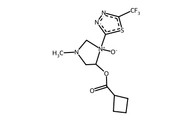 CN1CC(OC(=O)C2CCC2)[N+]([O-])(c2nnc(C(F)(F)F)s2)C1